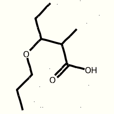 CCCOC(CC)C(C)C(=O)O